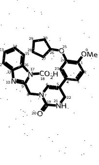 COc1ccc(C2=CN(Cc3nc4ccccc4n3C(=O)O)C(=O)NC2)cc1OC1CCCC1